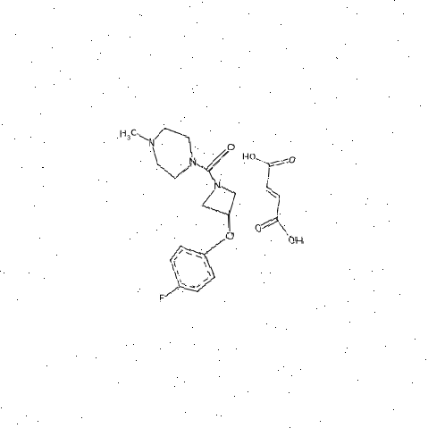 CN1CCN(C(=O)N2CC(Oc3ccc(F)cc3)C2)CC1.O=C(O)C=CC(=O)O